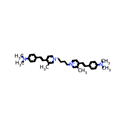 Cc1c[n+](CCCC[n+]2ccc(/C=C/c3ccc(N(C)C)cc3)c(C)c2)ccc1/C=C/c1ccc(N(C)C)cc1